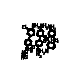 Cl.Cl.Cl.Cl.Nc1ccc(-c2ccc(N)c(Cl)c2)cc1Cl.Nc1ccc(-c2ccc(N)cc2)cc1.Nc1ccc2c(c1)S(=O)(=O)c1cc(N)ccc1C2